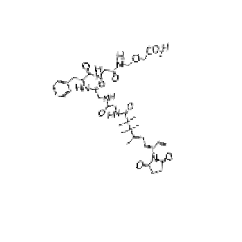 C=C/C(=C\C=C(/C)C(C)(C)C(C)(C)C(=O)NCC(=O)NCC(=O)NC(Cc1ccccc1)C(=O)NCC(=O)NCOCC(=O)O)N1C(=O)CCC1=O